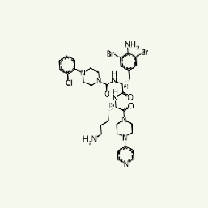 NCCCC[C@H](NC(=O)[C@@H](Cc1cc(Br)c(N)c(Br)c1)NC(=O)N1CCN(c2ccccc2Cl)CC1)C(=O)N1CCN(c2ccncc2)CC1